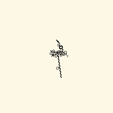 CC#CCOc1ccc(C[C@H](NC(=O)[C@@H](/C=C/CCCCCCC(=O)CCCCCCC)[C@@](O)(CCOC(C)=O)C(=O)OC(C)(C)C)C(N)=O)cc1